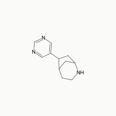 c1ncc(C2CC3CC2CCN3)cn1